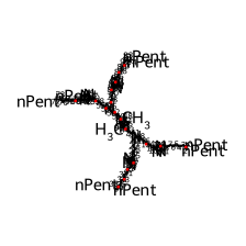 CCCCCC(CCCCC)CCCCCCCn1cc(CCCCCCN(CCCCCCc2cn(CCCCCCCC(CCCCC)CCCCC)nn2)CCCCN2C[C@H](C)N(CCCCN(CCCCCCc3cn(CCCCCCCC(CCCCC)CCCCC)nn3)CCCCCCc3cn(CCCCCCCC(CCCCC)CCCCC)nn3)C[C@H]2C)nn1